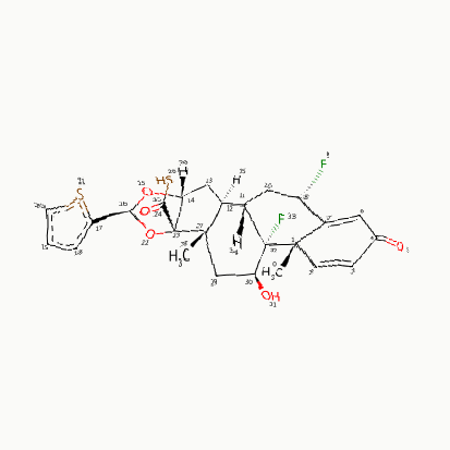 C[C@]12C=CC(=O)C=C1[C@@H](F)C[C@H]1[C@@H]3C[C@H]4O[C@H](c5cccs5)O[C@@]4(C(=O)S)[C@@]3(C)C[C@H](O)[C@@]12F